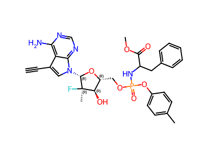 C#Cc1cn([C@@H]2O[C@H](COP(=O)(NC(Cc3ccccc3)C(=O)OC)Oc3ccc(C)cc3)[C@@H](O)[C@@]2(C)F)c2ncnc(N)c12